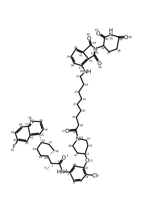 C[C@@H](C(=O)Nc1ccc(Cl)c(OC2CCN(C(=O)CCCCCCCCNc3cccc4c3C(=O)N(C3CCC(=O)NC3=O)C4=O)CC2)c1)[C@H]1CC[C@@H](c2ccnc3ccc(F)cc32)CC1